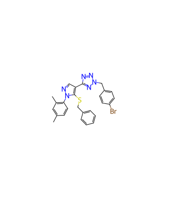 Cc1ccc(-n2ncc(-c3nnn(Cc4ccc(Br)cc4)n3)c2SCc2ccccc2)c(C)c1